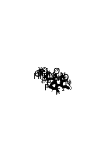 Cc1cc(-c2c(F)cc(F)cc2F)c2c(-n3cc4n(c3=O)C[C@@H](NS(C)(=O)=O)C4(F)F)noc2n1